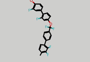 Cc1ccc(-c2ccc(C(F)(F)Oc3ccc(-c4ccc(OC(F)(F)F)c(F)c4)c(F)c3)cc2)c(F)c1F